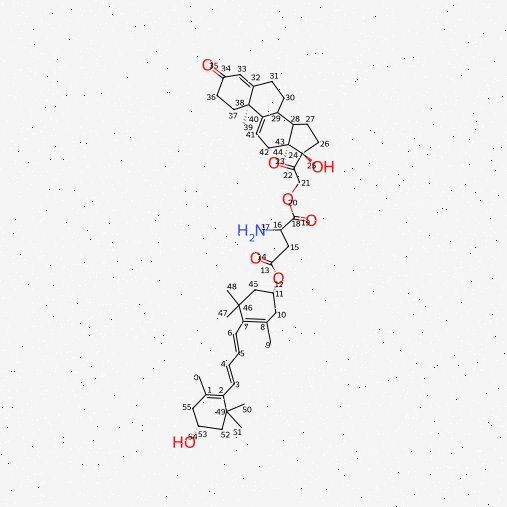 CC1=C(/C=C/C=C/C2=C(C)C[C@@H](OC(=O)CC(N)C(=O)OCC(=O)[C@@]3(O)CCC4C5CCC6=CC(=O)CC[C@]6(C)C5=CC[C@@]43C)CC2(C)C)C(C)(C)C[C@H](O)C1